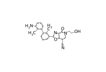 Cc1c(N)cccc1-c1cccc(-c2nc3c(=O)n(CCO)cc(C#N)c3o2)c1C